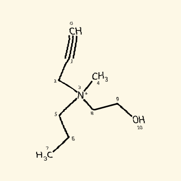 C#CC[N+](C)(CCC)CCO